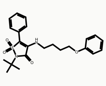 CC(C)(C)N1C(=O)C(NCCCCOc2ccccc2)=C(c2ccccc2)S1(=O)=O